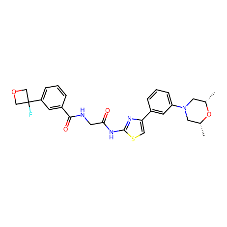 C[C@@H]1CN(c2cccc(-c3csc(NC(=O)CNC(=O)c4cccc(C5(F)COC5)c4)n3)c2)C[C@H](C)O1